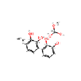 Oc1ccccc1O.Oc1ccccc1O.[K+].[K+].[K+].[O-]B([O-])[O-]